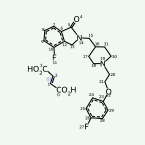 O=C(O)/C=C/C(=O)O.O=C1c2cccc(F)c2CN1CC1CCN(CCOc2ccc(F)cc2)CC1